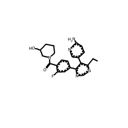 CCc1ncnc(-c2ccc(C(=O)N3CCCC(O)C3)c(F)c2)c1-c1ccc(N)nc1